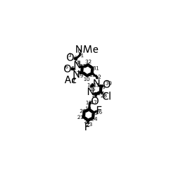 CNCC(=O)n1c(=O)n(C(C)=O)c2cc(Cn3cnc(OCc4ccc(F)cc4F)c(Cl)c3=O)ccc21